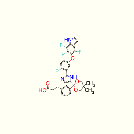 CC1(C)COC(c2cccc(CCC(=O)O)c2)(c2cnc(-c3cc(Oc4c(F)c(F)c5[nH]ccc5c4F)ccc3F)[nH]2)OC1